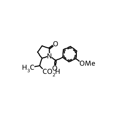 COc1cccc(C(=O)N2C(=O)CCC2C(C)C(=O)O)c1